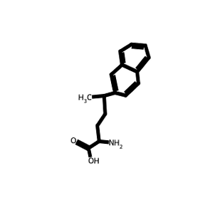 CC(CCC(N)C(=O)O)c1ccc2ccccc2c1